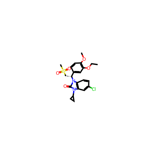 CCOc1cc([C@@H](CS(C)(=O)=O)n2c(=O)n(C3CC3)c3cc(Cl)ccc32)ccc1OC